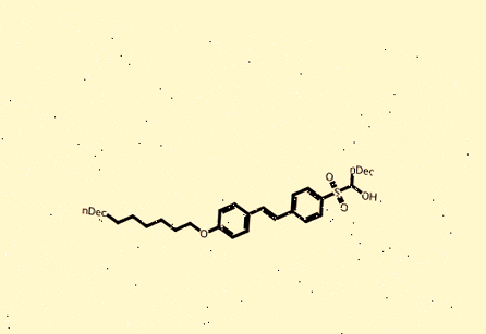 CCCCCCCCCCCCCCCCOc1ccc(C=Cc2ccc(S(=O)(=O)C(O)CCCCCCCCCC)cc2)cc1